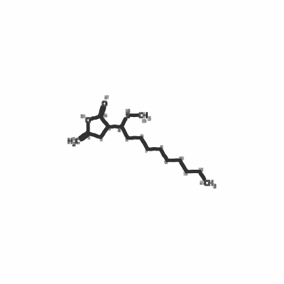 C=C1CC(C(CCCCCCCCC)SC)C(=O)O1